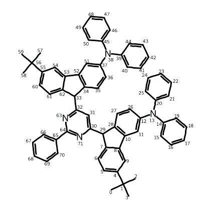 CC(C)(C)c1ccc2c(c1)-c1cc(N(c3ccccc3)c3ccccc3)ccc1C2c1cc(C2c3ccc(N(c4ccccc4)c4ccccc4)cc3-c3cc(C(C)(C)C)ccc32)nc(-c2ccccc2)n1